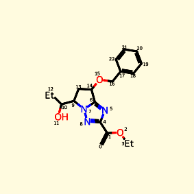 C=C(OCC)c1nc2n(n1)C(C(O)CC)CC2OCc1ccccc1